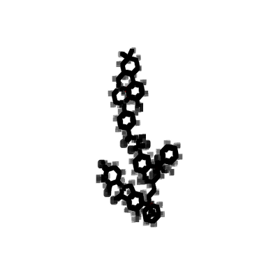 CC1(C)CCC(c2ccc(Cl)cc2)=C(CN2CCN(c3ccc(C(=O)NS(=O)(=O)c4ccc(N[C@H](CCN5CC6CC(C5)N6Cc5cc6c(cc5F)C(=O)N(C5CCC(=O)NC5=O)C6)CSc5ccccc5)c(S(=O)(=O)C(F)(F)F)c4)cc3)CC2)C1